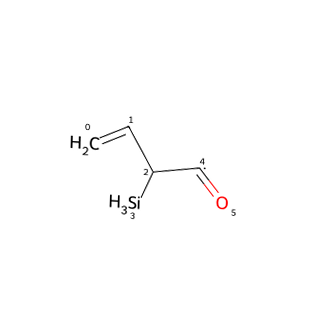 C=CC([SiH3])[C]=O